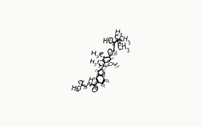 CCC(CC)(c1ccc(OCC(O)C(C)(C)C)c(C)c1)c1cc2cc(C(=O)NCC(=O)O)ccc2s1